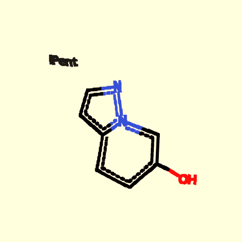 CCC[C@H](C)c1cc2ccc(O)cn2n1